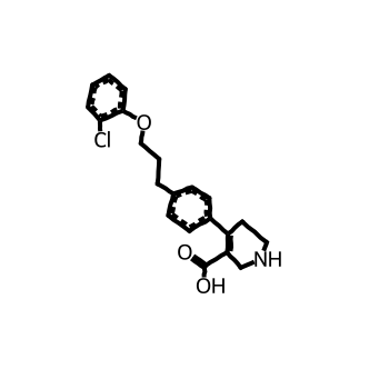 O=C(O)C1=C(c2ccc(CCCOc3ccccc3Cl)cc2)CCNC1